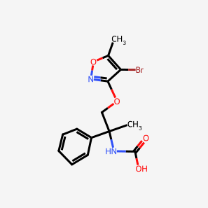 Cc1onc(OCC(C)(NC(=O)O)c2ccccc2)c1Br